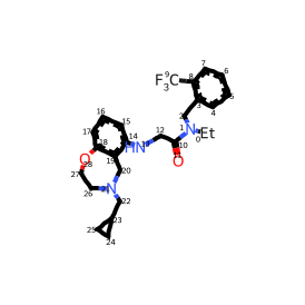 [CH2]CN(Cc1ccccc1C(F)(F)F)C(=O)CNc1cccc2c1CN(CC1CC1)CCO2